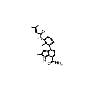 CC(C)=CC(=O)Nc1cccc(-c2ccc(C(N)=O)c3[nH]c(C)cc23)c1C